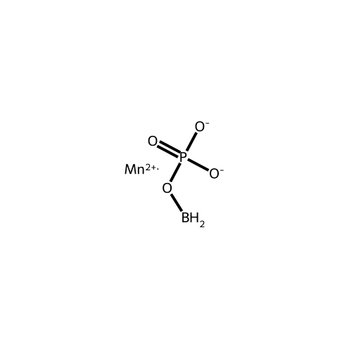 BOP(=O)([O-])[O-].[Mn+2]